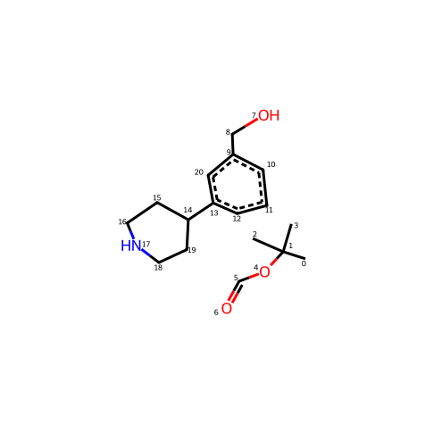 CC(C)(C)OC=O.OCc1cccc(C2CCNCC2)c1